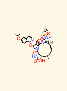 CC(C)Oc1ccc2c(O[C@@H]3C[C@H]4C(=O)N[C@]5(C(=O)NS(=O)(=O)C6(C)CC6)C[C@H]5/C=C\CC[C@@H](C)C[C@@H](C)[C@H](NC(=O)O)C(=O)N4C3)nccc2c1